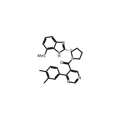 CSc1cccc2nc([C@@H]3CCCN3C(=O)c3cncnc3-c3ccc(C)c(C)c3)[nH]c12